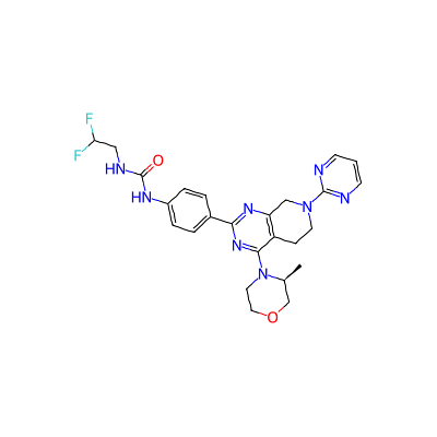 C[C@H]1COCCN1c1nc(-c2ccc(NC(=O)NCC(F)F)cc2)nc2c1CCN(c1ncccn1)C2